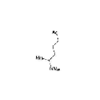 CNC(O)CCCC(C)=O